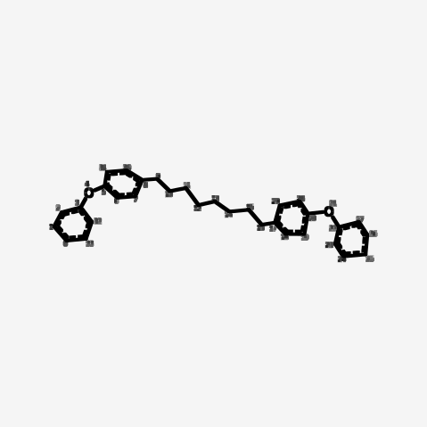 c1ccc(Oc2ccc(CCCCCCCCc3ccc(Oc4ccccc4)cc3)cc2)cc1